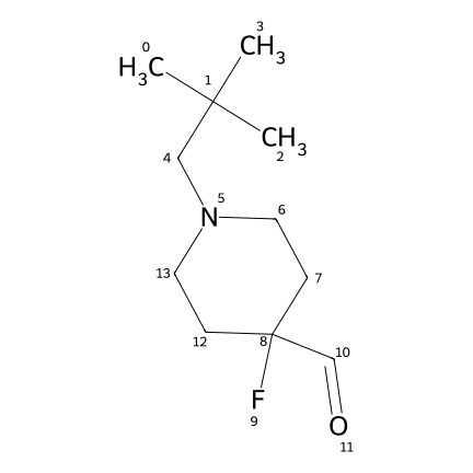 CC(C)(C)CN1CCC(F)(C=O)CC1